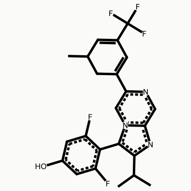 CC1C=C(C(F)(F)F)C=C(c2cn3c(-c4c(F)cc(O)cc4F)c(C(C)C)nc3cn2)C1